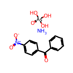 N.O=C(c1ccccc1)c1ccc([N+](=O)[O-])cc1.O=[As](O)(O)O